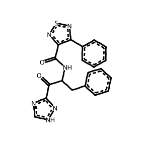 O=C(NC(Cc1ccccc1)C(=O)c1nc[nH]n1)c1nsnc1-c1ccccc1